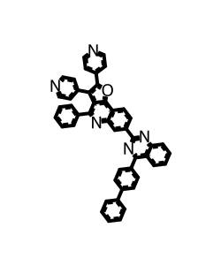 c1ccc(-c2ccc(-c3nc(-c4ccc5c(c4)nc(-c4ccccc4)c4c(-c6ccncc6)c(-c6ccncc6)oc45)nc4ccccc34)cc2)cc1